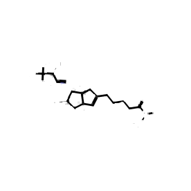 CCCCC(C)(C)[C@@H](O)/C=C/[C@@H]1[C@H]2CC(CCCCC(=O)N(C)C)=C[C@H]2C[C@H]1O